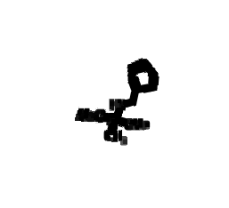 CO[Si](C)(NCc1ccccc1)OC